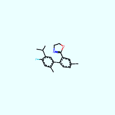 Cc1ccc(-c2cc(C(C)C)c(F)cc2C)c(C2=NCCO2)c1